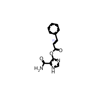 NC(=O)c1[nH]cnc1OC(=O)/C=C/c1ccccc1